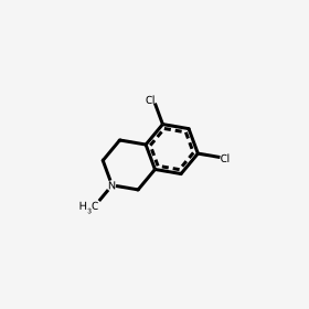 CN1CCc2c(Cl)cc(Cl)cc2C1